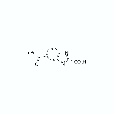 CCCC(=O)c1ccc2[nH]c(C(=O)O)nc2c1